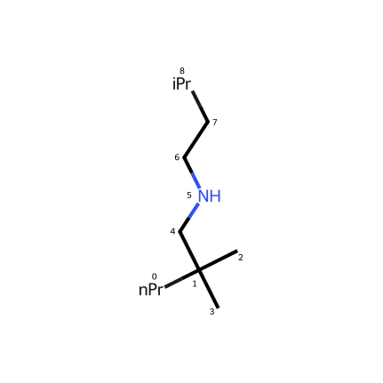 CCCC(C)(C)CNCCC(C)C